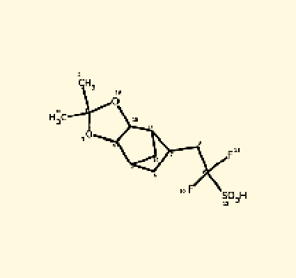 CC1(C)OC2C3CC(CC(F)(F)S(=O)(=O)O)C(C3)C2O1